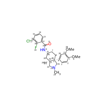 COc1ccc([C@@]23CC[C@@H](NC(=O)c4cccc(Cl)c4F)C[C@@H]2CN(C)C3)cc1OC